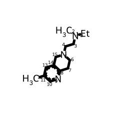 CCN(C)CCN1CCc2ncc(C)cc2C1